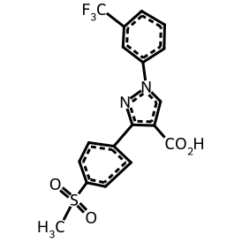 CS(=O)(=O)c1ccc(-c2nn(-c3cccc(C(F)(F)F)c3)cc2C(=O)O)cc1